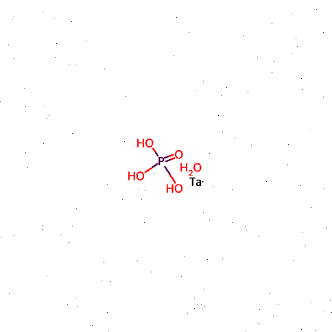 O.O=P(O)(O)O.[Ta]